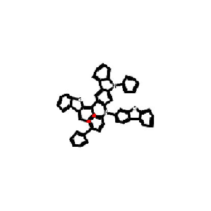 c1ccc(-c2ccc(N(c3ccc4c(c3)sc3ccccc34)c3cc4c(cc3-c3cccc5c3sc3ccccc35)c3ccccc3n4-c3ccccc3)cc2)cc1